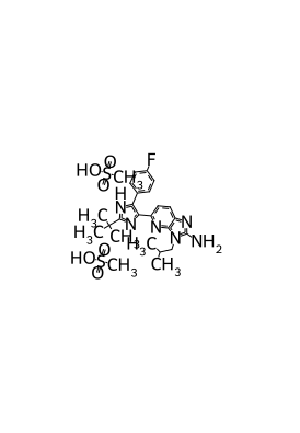 CC(C)Cn1c(N)nc2ccc(-c3nc(C(C)(C)C)[nH]c3-c3ccc(F)cc3)nc21.CS(=O)(=O)O.CS(=O)(=O)O